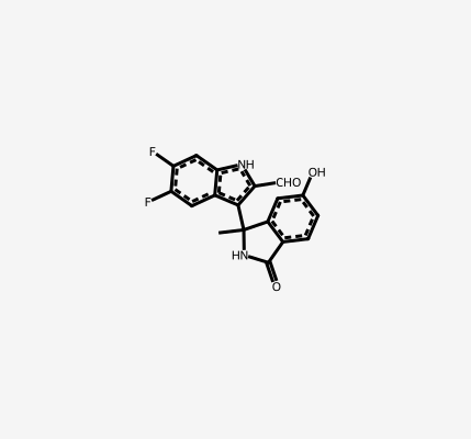 CC1(c2c(C=O)[nH]c3cc(F)c(F)cc23)NC(=O)c2ccc(O)cc21